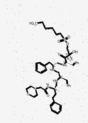 CC(C)C[C@H](CN[C@@H](CN[C@@H](CC(C)C)C(=O)[C@](C)(O)COS(=O)(=O)CCCCCC(=O)O)Cc1ccccc1)NC[C@@H](CCc1ccccc1)NC(=O)CN1CCOCC1